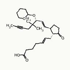 CC#CCC(C)(C)[C@@H](C=C[C@H]1CCC(=O)[C@@H]1CC=CCCCC(=O)O)OC1CCCCO1